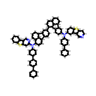 c1ccc(-c2ccc(-c3ccc(N(c4cc5sc6ccccc6c5cn4)c4ccc5c6c(cccc46)-c4cc(-c6ccc7cccc8c7c6-c6ccc(N(c7ccc(-c9ccccc9)cc7)c7ccc9sc%10ccncc%10c9c7)cc6-8)ccc4-5)cc3)cc2)cc1